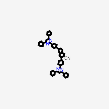 N#Cc1cc2ccc(-c3ccc(-c4nc(-c5ccccc5)cc(-c5ccccc5)n4)cc3)cc2cc1-c1ccc(-c2nc(-c3ccccc3)cc(-c3ccccc3)n2)cc1